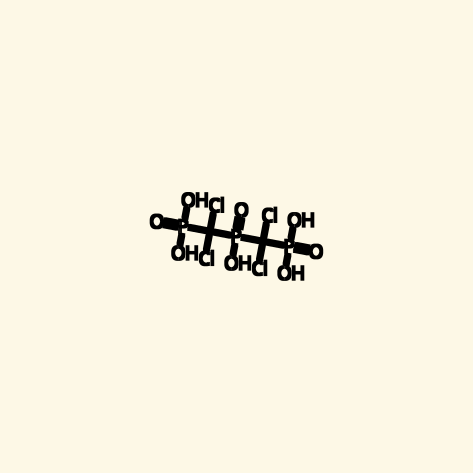 O=P(O)(O)C(Cl)(Cl)P(=O)(O)C(Cl)(Cl)P(=O)(O)O